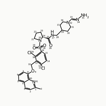 Cc1ccc2cccc(OCc3c(Cl)ccc(S(=O)(=O)N4CCC[C@H]4C(=O)NCC4CCN(C=NN)CC4)c3Cl)c2n1